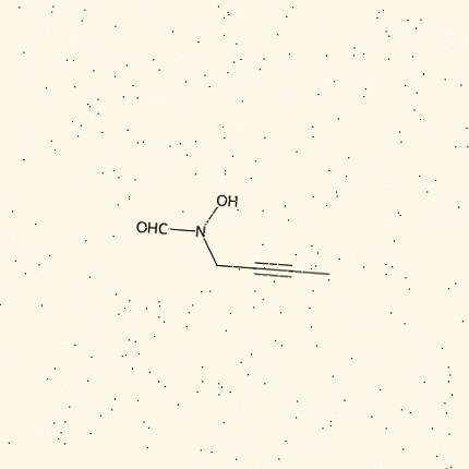 CC#CCN(O)C=O